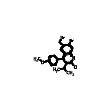 COc1ccc(-c2c(C(C)C)c(Cl)nc3cc(Br)c(CBr)cc23)cc1